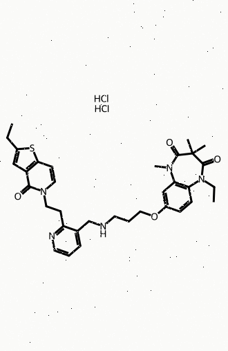 CCc1cc2c(=O)n(CCc3ncccc3CNCCCOc3ccc4c(c3)N(C)C(=O)C(C)(C)C(=O)N4CC)ccc2s1.Cl.Cl